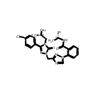 CC(C)[C@@H](C)NC(=O)c1ccccc1-n1cnc(Cn2nc(-c3ccc(Cl)cc3)n(C[C@H](O)C(F)(F)F)c2=O)n1